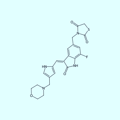 O=C1Nc2c(F)cc(CN3C(=O)CSC3=O)cc2C1=Cc1cc(CN2CCOCC2)c[nH]1